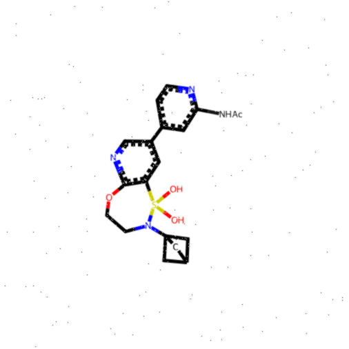 CC(=O)Nc1cc(-c2cnc3c(c2)S(O)(O)N(C24CC(C2)C4)CCO3)ccn1